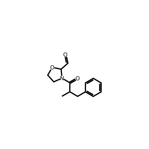 CC(Cc1ccccc1)C(=O)N1CCOC1C=O